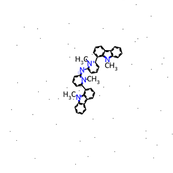 Cn1c(-c2cccc3c4ccccc4n(C)c23)ccc/c1=N/c1cccc(-c2cccc3c4ccccc4n(C)c23)[n+]1C